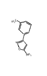 [CH2]c1cccc(-c2cc(N)on2)c1